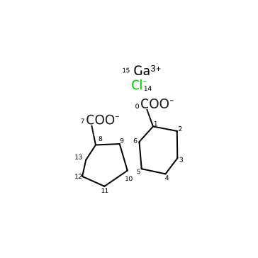 O=C([O-])C1CCCCC1.O=C([O-])C1CCCCC1.[Cl-].[Ga+3]